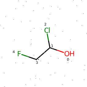 OC(Cl)[CH]F